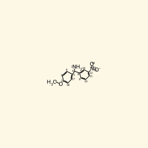 COc1ccc(C(N)c2cccc([N+](=O)[O-])c2)cc1